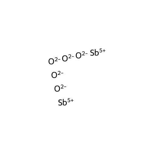 [O-2].[O-2].[O-2].[O-2].[O-2].[Sb+5].[Sb+5]